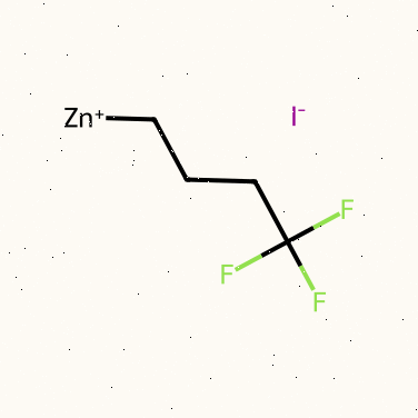 FC(F)(F)CC[CH2][Zn+].[I-]